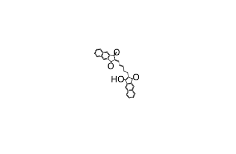 O=C1C(=C/C=C/CCC2=C(O)c3cc4ccccc4cc3C2=O)C(=O)c2cc3ccccc3cc21